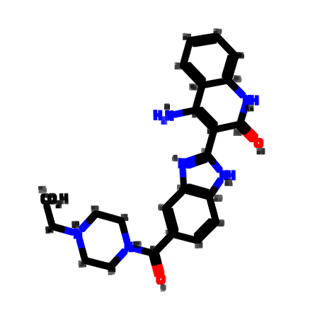 Nc1c(-c2nc3cc(C(=O)N4CCN(CC(=O)O)CC4)ccc3[nH]2)c(=O)[nH]c2ccccc12